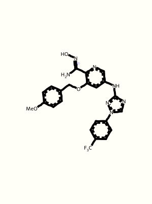 COc1ccc(COc2cc(Nc3ncn(-c4ccc(C(F)(F)F)cc4)n3)cnc2/C(N)=N/O)cc1